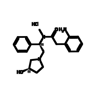 CN(C(=O)Cc1ccccc1N)[C@H](CN1CC[C@H](O)C1)c1ccccc1.Cl